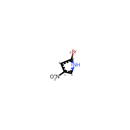 O=[N+]([O-])c1c[nH]c(Br)c1